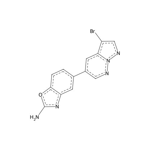 Nc1nc2cc(-c3cnn4ncc(Br)c4c3)ccc2o1